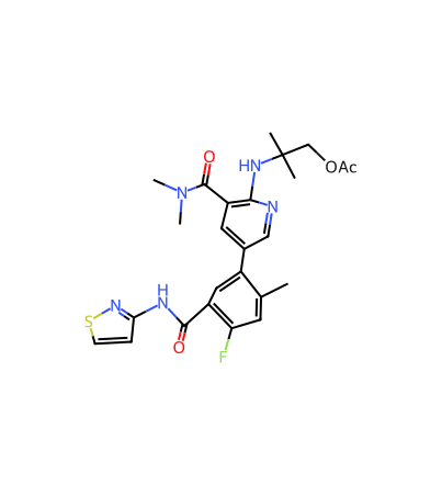 CC(=O)OCC(C)(C)Nc1ncc(-c2cc(C(=O)Nc3ccsn3)c(F)cc2C)cc1C(=O)N(C)C